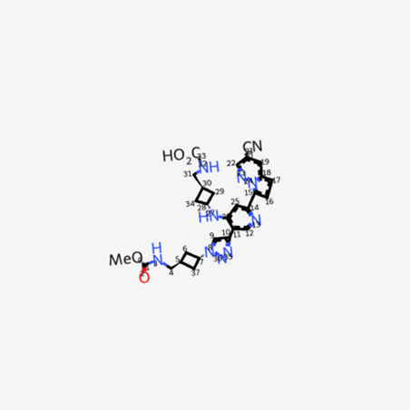 COC(=O)NC[C@H]1C[C@H](n2cc(-c3cnc(-c4ccc5cc(C#N)cnn45)cc3N[C@H]3C[C@H](CNC(=O)O)C3)nn2)C1